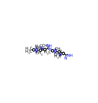 Cc1cc2c(cc1C)N(C)C(=c1ccc3c4cc/c(=C(/C#N)CNc5cc6c(cc5C)N(C)/C(=c5/ccc7c8cc/c(=C(/C#N)C=N)cc8n(C)c7c5)N6C)cc4n(C(C)C)c3c1)N2C